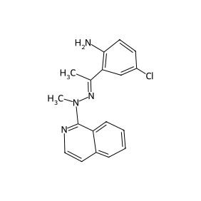 C/C(=N\N(C)c1nccc2ccccc12)c1cc(Cl)ccc1N